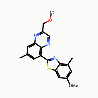 CCOCc1cnc2c(-c3nc4c(C)cc(OC)cc4s3)cc(C)cc2n1